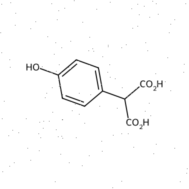 O=C(O)C(C(=O)O)c1ccc(O)cc1